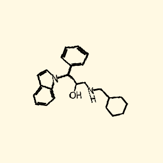 OC(CNCC1CCCCC1)C(c1ccccc1)n1ccc2ccccc21